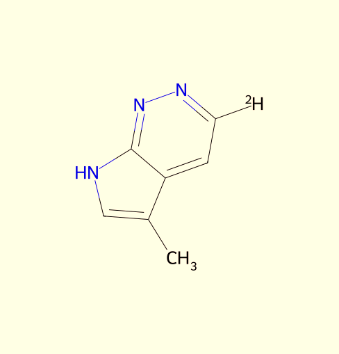 [2H]c1cc2c(C)c[nH]c2nn1